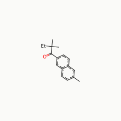 CCC(C)(C)C(=O)c1ccc2cc(C)ccc2c1